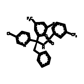 O=S(=O)(N[C@@](Cc1ccccc1)(c1cc(F)cc(C(F)(F)F)c1)c1ccc(Cl)cn1)c1cccc(C(F)(F)F)c1